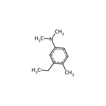 CCc1cc(N(C)C)ccc1C